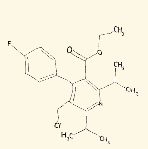 CCOC(=O)c1c(C(C)C)nc(C(C)C)c(CCl)c1-c1ccc(F)cc1